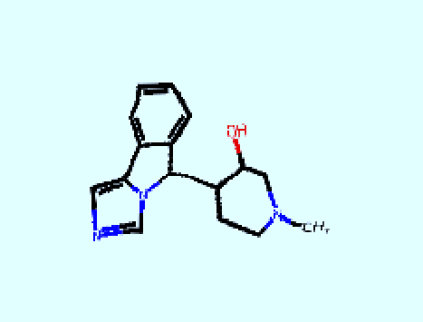 CN1CCC(C2c3ccccc3-c3cncn32)C(O)C1